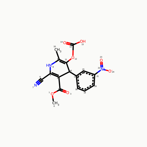 COC(=O)C1=C(C#N)NC(C)=C(OC(=O)O)C1c1cccc([N+](=O)[O-])c1